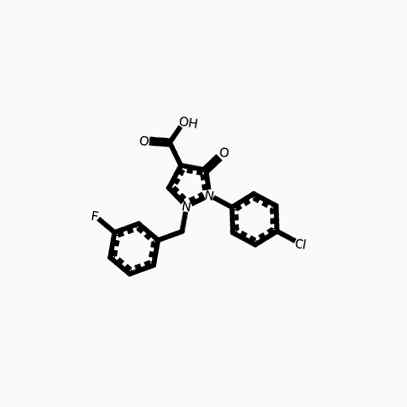 O=C(O)c1cn(Cc2cccc(F)c2)n(-c2ccc(Cl)cc2)c1=O